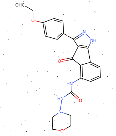 O=CCOc1ccc(-c2n[nH]c3c2C(=O)c2c(NC(=O)NN4CCOCC4)cccc2-3)cc1